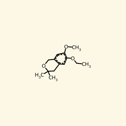 CCOc1cc2c(cc1OC)COC(C)(C)C2